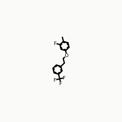 Cc1ccc(OCCc2cccc(C(F)(F)F)c2)cc1F